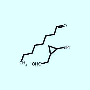 CCCC1CC1CC=O.CCCCCCCC=O